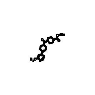 Cc1cc(N2CCC(C(=O)N3CCN(C(=O)OC(C)(C)C)CC3)CC2)ncn1